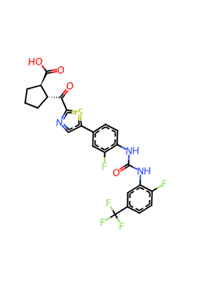 O=C(Nc1ccc(-c2cnc(C(=O)[C@@H]3CCC[C@H]3C(=O)O)s2)cc1F)Nc1cc(C(F)(F)F)ccc1F